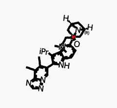 Cc1c(-c2[nH]c3ccc(N4C[C@H]5C[C@@H](C4)N5C(=O)CN(C)C)nc3c2C(C)C)cn2ncnc2c1C